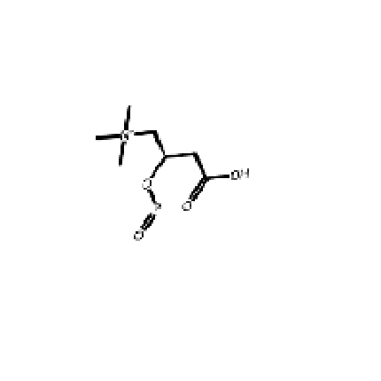 C[N+](C)(C)C[C@@H](CC(=O)O)OP=O